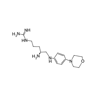 N=C(N)NCCC[C@H](N)CNc1ccc(N2CCOCC2)cc1